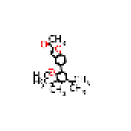 COc1c(-c2ccc3oc(C(C)=O)cc3c2)cc(C(C)C)cc1C(C)C